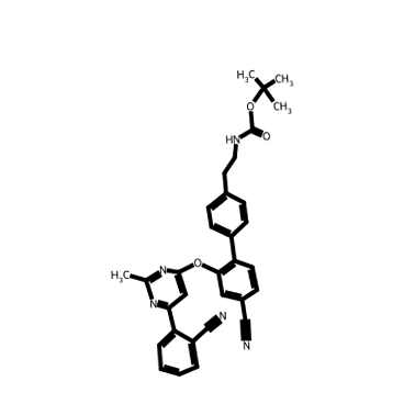 Cc1nc(Oc2cc(C#N)ccc2-c2ccc(CCNC(=O)OC(C)(C)C)cc2)cc(-c2ccccc2C#N)n1